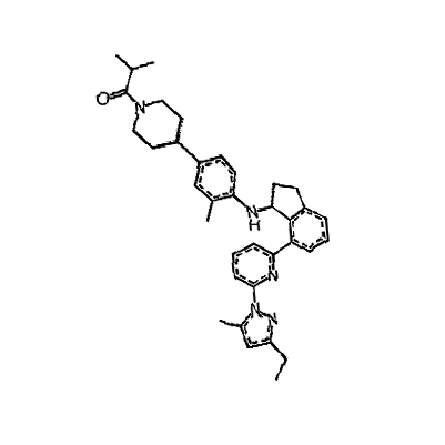 CCc1cc(C)n(-c2cccc(-c3cccc4c3C(Nc3ccc(C5CCN(C(=O)C(C)C)CC5)cc3C)CC4)n2)n1